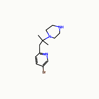 CC(C)(Cc1ccc(Br)cn1)N1CCNCC1